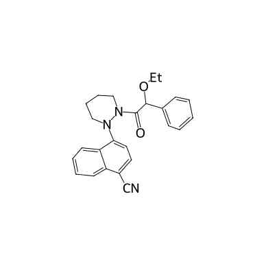 CCOC(C(=O)N1CCCCN1c1ccc(C#N)c2ccccc12)c1ccccc1